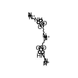 Cn1cc[n+](CCCNc2ccc3c4c(cccc24)C(=O)N(CCCCCCn2cc[n+](CCCCCCN4C(=O)c5cccc6c(NCCCn7cc[n+](C)c7)ccc(c56)C4=O)c2)C3=O)c1